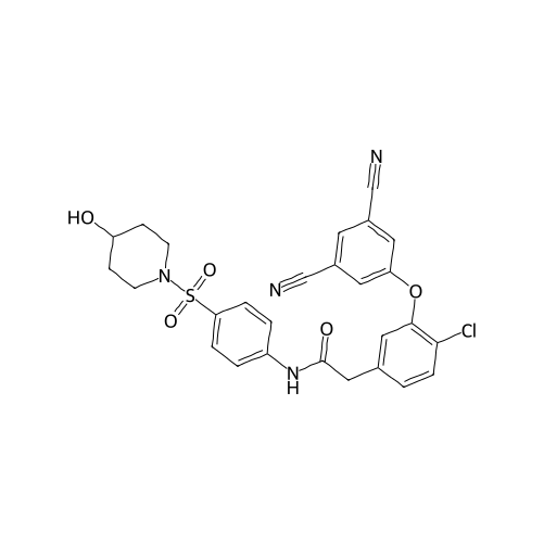 N#Cc1cc(C#N)cc(Oc2cc(CC(=O)Nc3ccc(S(=O)(=O)N4CCC(O)CC4)cc3)ccc2Cl)c1